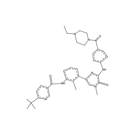 CCN1CCN(C(=O)c2ccc(Nc3nc(-c4cccc(NC(=O)c5ccc(C(C)(C)C)nc5)c4C)cn(C)c3=O)cc2)CC1